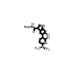 CCc1nc(N(C)C)ccc1-c1cc2c(C(=O)NOC)c[nH]c2cc1Cl